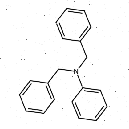 [c]1cccc(N(Cc2ccccc2)Cc2ccccc2)c1